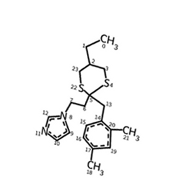 CCC1CSC(CCn2ccnc2)(Cc2ccc(C)cc2C)SC1